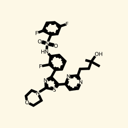 CC(C)(O)CCc1nccc(-c2sc(N3CCOCC3)nc2-c2cccc(NS(=O)(=O)c3cc(F)ccc3F)c2F)n1